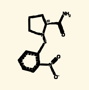 NC(=O)[C@@H]1CCCN1Sc1ccccc1[N+](=O)[O-]